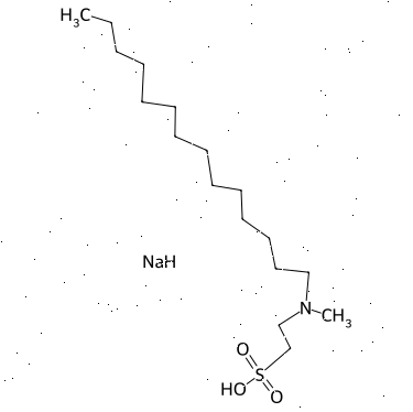 CCCCCCCCCCCCCCN(C)CCS(=O)(=O)O.[NaH]